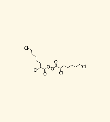 O=C(OOC(=O)C(Cl)CCCCCCl)C(Cl)CCCCCCl